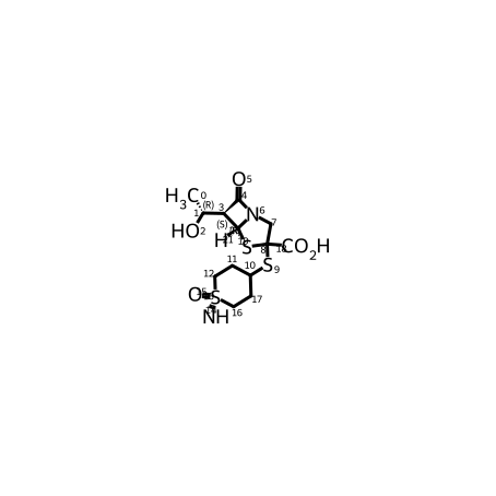 C[C@@H](O)[C@H]1C(=O)N2CC(SC3CCS(=N)(=O)CC3)(C(=O)O)S[C@H]12